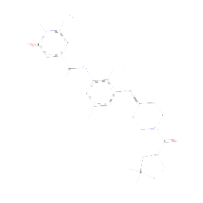 Cc1c(C=C2CCN(C(=O)C3CCC(F)(F)C3)CC2)cc(Cl)cc1NC(=O)c1cc(C#N)n(C)c(=O)c1